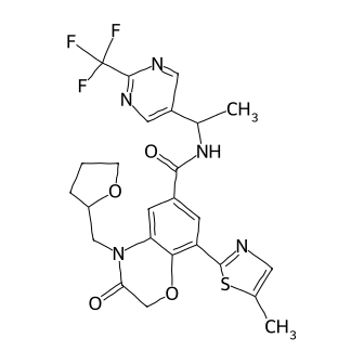 Cc1cnc(-c2cc(C(=O)NC(C)c3cnc(C(F)(F)F)nc3)cc3c2OCC(=O)N3CC2CCCO2)s1